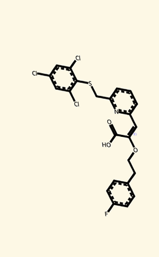 O=C(O)/C(=C\c1cccc(CSc2c(Cl)cc(Cl)cc2Cl)n1)OCCc1ccc(F)cc1